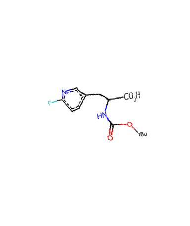 CC(C)(C)OC(=O)NC(Cc1ccc(F)nc1)C(=O)O